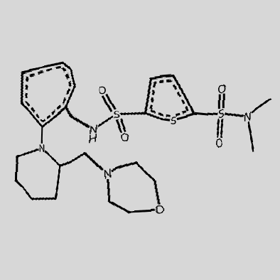 CN(C)S(=O)(=O)c1ccc(S(=O)(=O)Nc2ccccc2N2CCCCC2CN2CCOCC2)s1